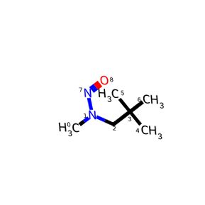 CN(CC(C)(C)C)N=O